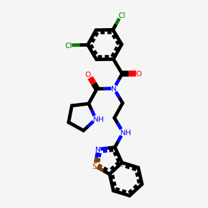 O=C(c1cc(Cl)cc(Cl)c1)N(CCNc1nsc2ccccc12)C(=O)C1CCCN1